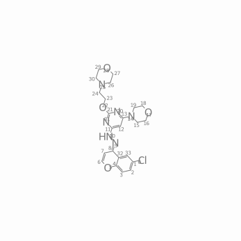 Clc1ccc2occc(=NNc3cc(N4CCOCC4)nc(OCCN4CCOCC4)n3)c2c1